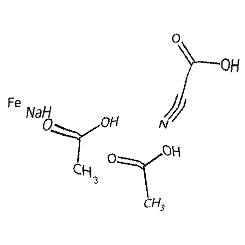 CC(=O)O.CC(=O)O.N#CC(=O)O.[Fe].[NaH]